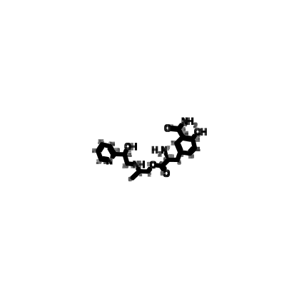 CC(COC(=O)[C@@H](N)Cc1ccc(O)c(C(N)=O)c1)NCC(O)c1ccccn1